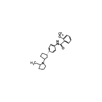 CC1CCCN1C1CC[C@H](c2ccc(NC(=O)c3ccccc3OC(F)(F)F)cc2)C1